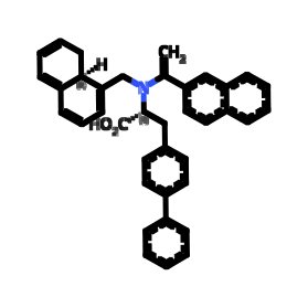 C=C(c1ccc2ccccc2c1)N(CC1=CC=CC2=CC=CC[C@H]21)[C@H](Cc1ccc(-c2ccccc2)cc1)C(=O)O